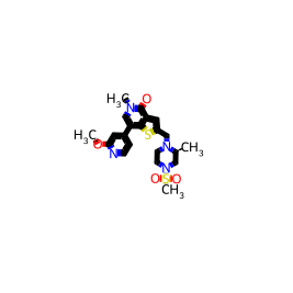 COc1cc(-c2cn(C)c(=O)c3cc(CN4CCN(S(C)(=O)=O)C[C@H]4C)sc23)ccn1